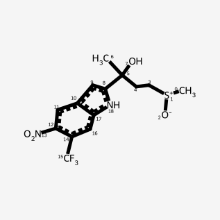 C[S+]([O-])CCC(C)(O)c1cc2cc([N+](=O)[O-])c(C(F)(F)F)cc2[nH]1